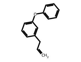 C=CCc1cccc(Oc2ccccc2)c1